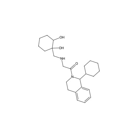 O=C(CNCC1(O)CCCCC1O)N1CCc2ccccc2C1C1CCCCC1